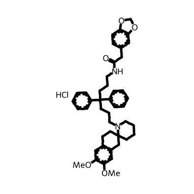 COc1cc2c(cc1OC)CC1(CCCCN1CCCC(CCCNC(=O)Cc1ccc3c(c1)OCO3)(c1ccccc1)c1ccccc1)CC2.Cl